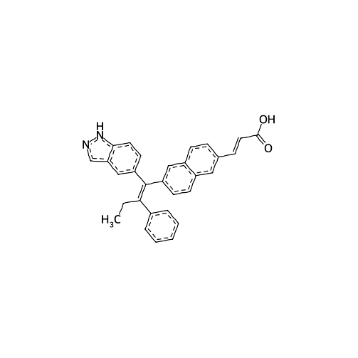 CC/C(=C(/c1ccc2cc(/C=C/C(=O)O)ccc2c1)c1ccc2[nH]ncc2c1)c1ccccc1